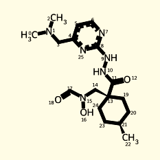 CN(C)Cc1ccnc(NNC(=O)[C@]2(CN(O)C=O)CC[C@@H](C)CC2)n1